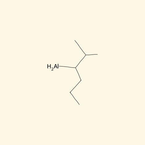 CCC[CH]([AlH2])C(C)C